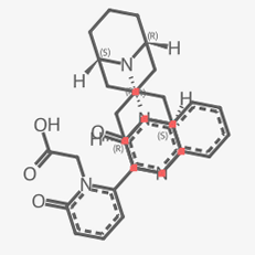 O=C(O)Cn1c(-c2nc3ccccc3n([C@H]3C[C@H]4CCC[C@@H](C3)N4[C@H]3C[C@@H]4CCC[C@@H](C4)C3)c2=O)cccc1=O